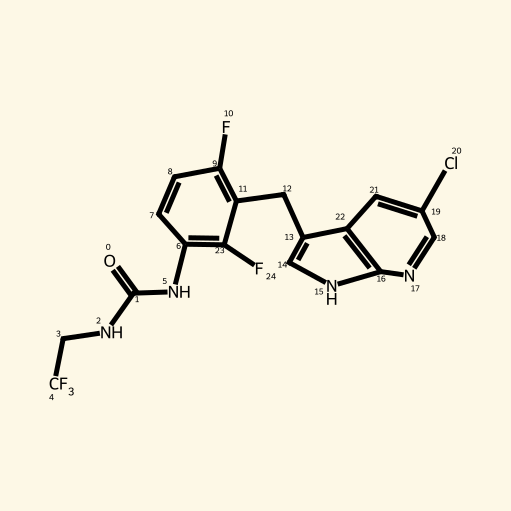 O=C(NCC(F)(F)F)Nc1ccc(F)c(Cc2c[nH]c3ncc(Cl)cc23)c1F